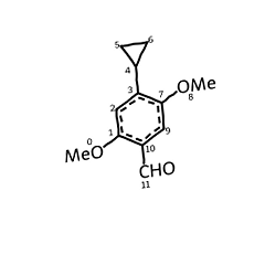 COc1cc(C2CC2)c(OC)cc1C=O